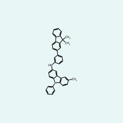 Cc1ccc2c(c1)c1cc(Nc3cccc(-c4ccc5c(c4)C(C)(C)c4ccccc4-5)c3)ccc1n2-c1ccccc1